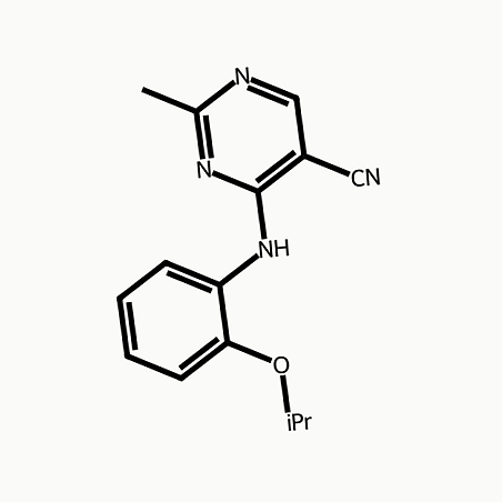 Cc1ncc(C#N)c(Nc2ccccc2OC(C)C)n1